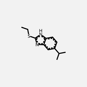 CCSc1nc2cc(C(C)C)ccc2[nH]1